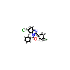 O=C(c1ccccc1)n1c(-c2ccc(F)cc2)nc2ccc(Cl)cc21